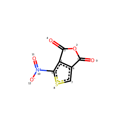 O=C1OC(=O)c2c1csc2[N+](=O)[O-]